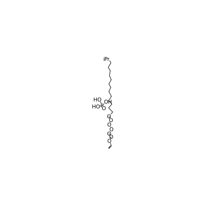 C=COOOOOOOCCCCCCCCCCCCCC(C)C.O=P(O)(O)O